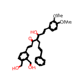 COc1ccc(/C=C/C(O)=C(\C/C=C/c2ccccc2)C(=O)/C=C/c2ccc(CO)c(CO)c2)cc1OC